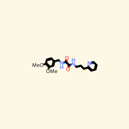 COc1ccc(CNC(=O)C(=O)NCCCc2ccccn2)cc1OC